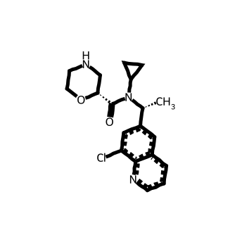 C[C@H](c1cc(Cl)c2ncccc2c1)N(C(=O)[C@H]1CNCCO1)C1CC1